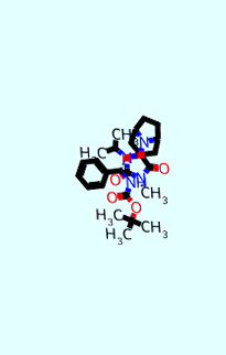 CC(C)N1C(=O)N(C)C(=O)C12CC1CCC(C2)N1CC[C@H](NC(=O)OC(C)(C)C)c1ccccc1